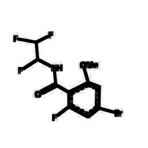 COc1cc(Br)cc(F)c1C(=O)NC(F)C(F)F